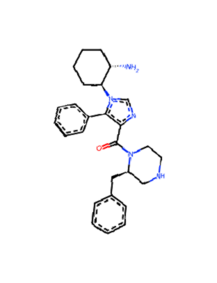 N[C@H]1CCCC[C@@H]1n1cnc(C(=O)N2CCNC[C@H]2Cc2ccccc2)c1-c1ccccc1